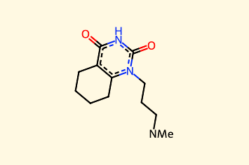 CNCCCn1c2c(c(=O)[nH]c1=O)CCCC2